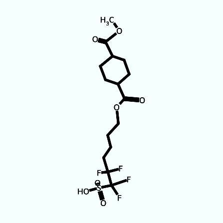 COC(=O)C1CCC(C(=O)OCCCCC(F)(F)C(F)(F)S(=O)(=O)O)CC1